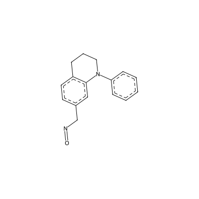 O=NCc1ccc2c(c1)N(c1ccccc1)CCC2